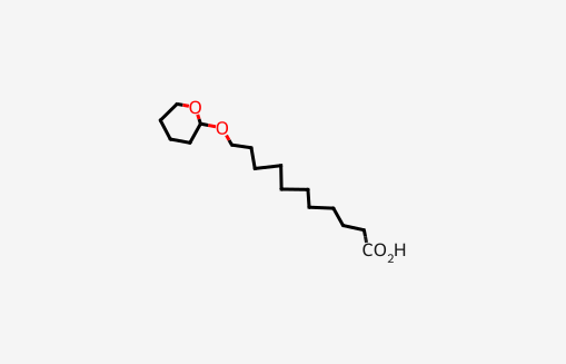 O=C(O)CCCCCCCCCCOC1CCCCO1